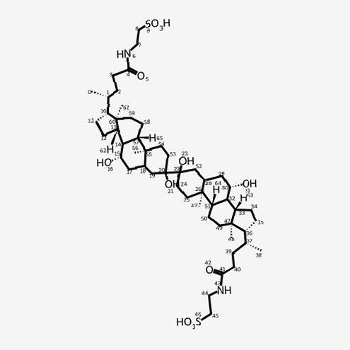 C[C@H](CCC(=O)NCCS(=O)(=O)O)[C@H]1CC[C@H]2C3[C@@H](O)CC4CC(O)(C5(O)CC[C@@]6(C)C(C[C@H](O)C7[C@@H]8CC[C@H]([C@H](C)CCC(=O)NCCS(=O)(=O)O)[C@@]8(C)CC[C@@H]76)C5)CC[C@]4(C)[C@H]3CC[C@]12C